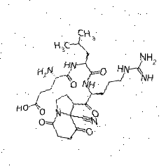 CC(C)C[C@H](NC(=O)[C@@H](N)CCC(=O)O)C(=O)N[C@@H](CCCNC(=N)N)C(=O)C1CCN2C(=O)CCC(=O)C12C#N